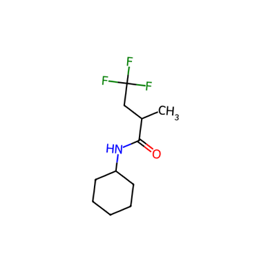 CC(CC(F)(F)F)C(=O)NC1CCCCC1